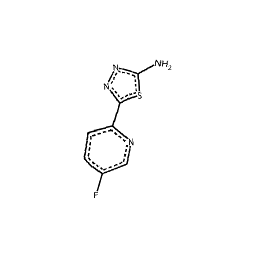 Nc1nnc(-c2ccc(F)cn2)s1